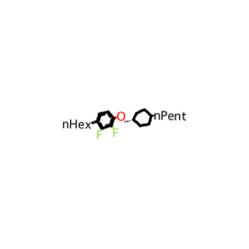 CCCCCCc1ccc(OC[C@H]2CC[C@H](CCCCC)CC2)c(F)c1F